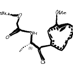 COc1cccc(C(=O)[C@H](C)NC(=O)OC(C)(C)C)c1